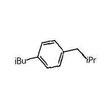 [CH2]CC(C)c1ccc(CC(C)C)cc1